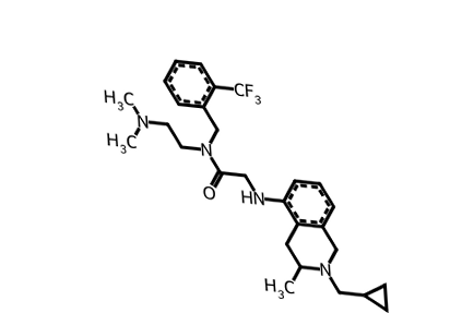 CC1Cc2c(cccc2NCC(=O)N(CCN(C)C)Cc2ccccc2C(F)(F)F)CN1CC1CC1